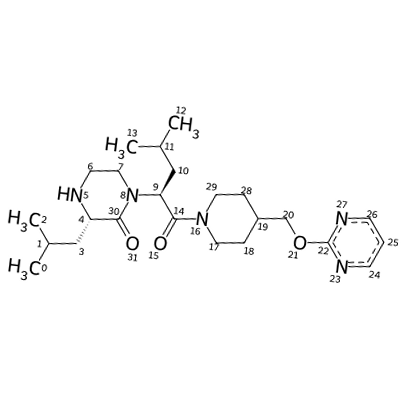 CC(C)C[C@@H]1NCCN([C@@H](CC(C)C)C(=O)N2CCC(COc3ncccn3)CC2)C1=O